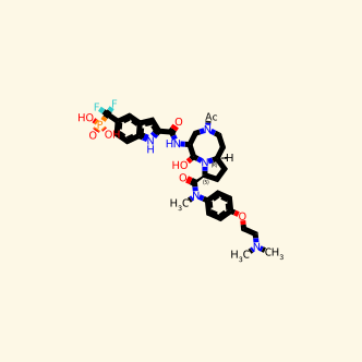 CC(=O)N1CC[C@H]2CC[C@@H](C(=O)N(C)c3ccc(OCCN(C)C)cc3)N2C(O)C(NC(=O)c2cc3cc(C(F)(F)P(=O)(O)O)ccc3[nH]2)C1